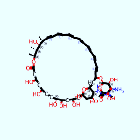 CC1O[C@@H](OC2/C=C/C=C/C=C/C=C/C=C/C=C/C=C/[C@H](C)[C@@H](O)[C@@H](C)[C@H](C)OC(=O)CC(O)CC(O)CC[C@@H](O)C(O)CC(O)C[C@]3(O)C[C@H](O)[C@@H](NC(=O)N(C)C)[C@H](C2)O3)[C@@H](O)[C@@H](N)[C@@H]1O